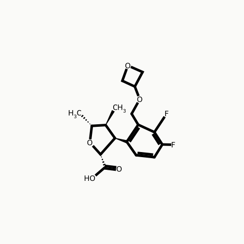 C[C@H]1[C@@H](c2ccc(F)c(F)c2COC2COC2)[C@H](C(=O)O)O[C@@H]1C